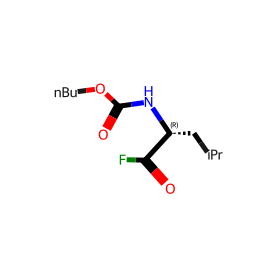 CCCCOC(=O)N[C@H](CC(C)C)C(=O)F